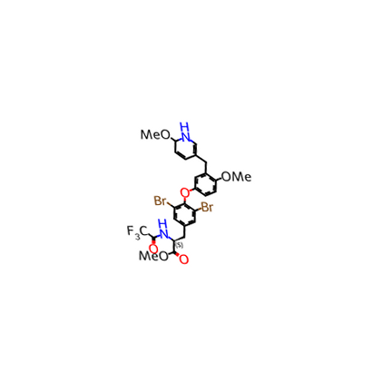 COC(=O)[C@H](Cc1cc(Br)c(Oc2ccc(OC)c(CC3=CNC(OC)C=C3)c2)c(Br)c1)NC(=O)C(F)(F)F